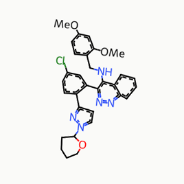 COc1ccc(CNc2c(-c3cc(Cl)ccc3-c3ccn(C4CCCCO4)n3)nnc3ccccc23)c(OC)c1